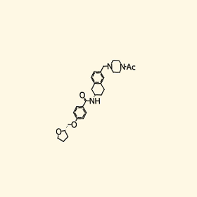 CC(=O)N1CCN(Cc2ccc3c(c2)CC[C@H](NC(=O)c2ccc(OC[C@@H]4CCCO4)cc2)C3)CC1